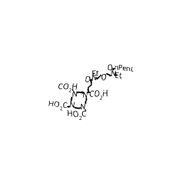 CCCCCC(=O)N(CC)CCOCCN(CC)C(=O)CCC(C(=O)O)N1CCN(CC(=O)O)CCN(CC(=O)O)CCN(CC(=O)O)CC1